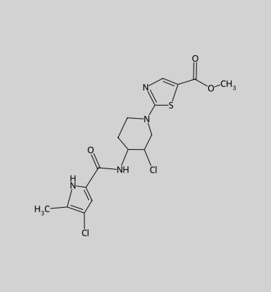 COC(=O)c1cnc(N2CCC(NC(=O)c3cc(Cl)c(C)[nH]3)C(Cl)C2)s1